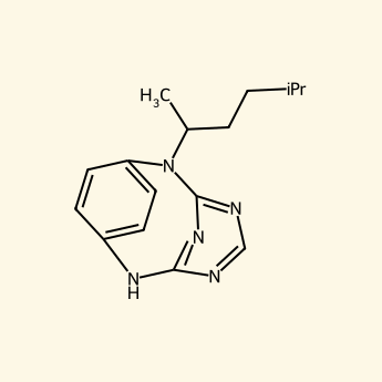 CC(C)CCC(C)N1c2ccc(cc2)Nc2ncnc1n2